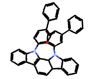 C1=CC2c3ccccc3N(c3cccc(-c4ccccc4)c3)C2c2c1c1ccccc1n2-c1ccc(-c2ccccc2)cc1